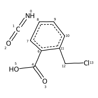 N=C=O.O=C(O)c1ccccc1CCl